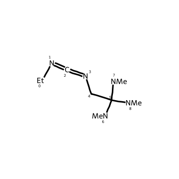 CCN=C=NCC(NC)(NC)NC